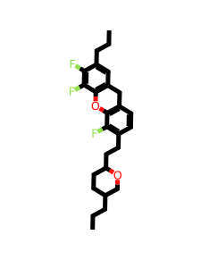 CCCc1cc2c(c(F)c1F)Oc1c(ccc(CCC3CCC(CCC)CO3)c1F)C2